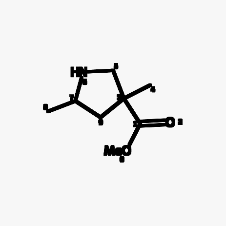 COC(=O)C1(C)CNC(C)C1